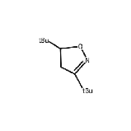 CC(C)(C)C1=NOC(C(C)(C)C)C1